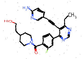 CCc1ncnc(-c2ccc(C(=O)N3CCC(CCO)CC3)c(F)c2)c1C#Cc1ccc(N)nc1